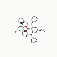 Cc1cc(C(c2ccccc2)c2ccccc2)c(-[n+]2cc3cccc(N4CCOCC4)n3c2)c(C(c2ccccc2)c2ccccc2)c1.[Cl-]